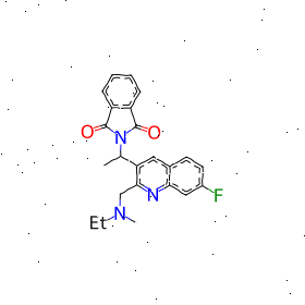 CCN(C)Cc1nc2cc(F)ccc2cc1C(C)N1C(=O)c2ccccc2C1=O